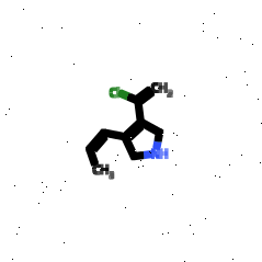 C=C(Cl)C1=C(/C=C\C)CNC1